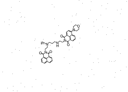 CC(C)N(CCCNCCN1C(=O)c2cccc3c(N4CCOCC4)ccc(c23)C1=O)CCN1C(=O)c2cccc3cccc(c23)C1=O